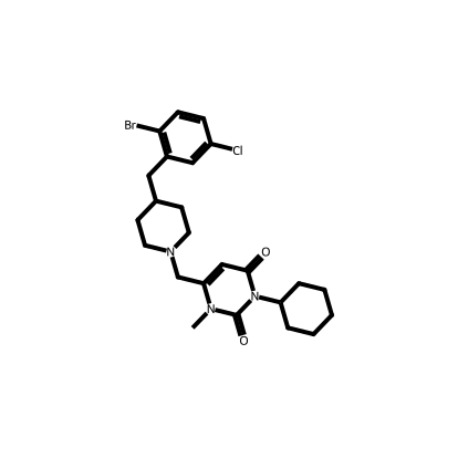 Cn1c(CN2CCC(Cc3cc(Cl)ccc3Br)CC2)cc(=O)n(C2CCCCC2)c1=O